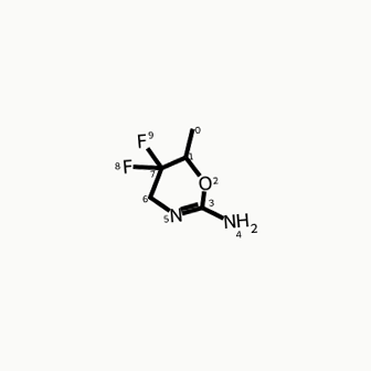 CC1OC(N)=NCC1(F)F